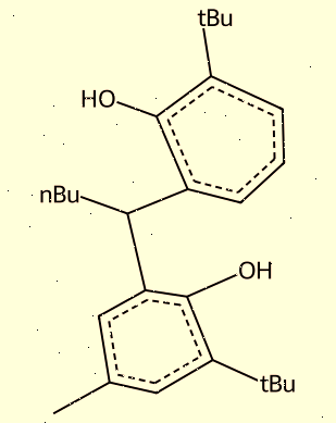 CCCCC(c1cccc(C(C)(C)C)c1O)c1cc(C)cc(C(C)(C)C)c1O